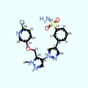 Cn1ncc(-n2cc(-c3cccc(S(N)(=O)=O)c3)cn2)c1COc1ccc(Cl)nc1